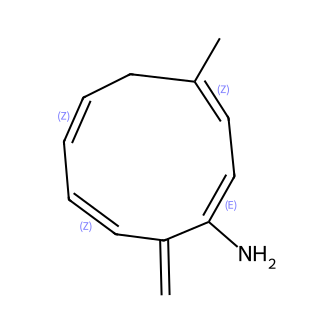 C=C1/C=C\C=C/C/C(C)=C\C=C/1N